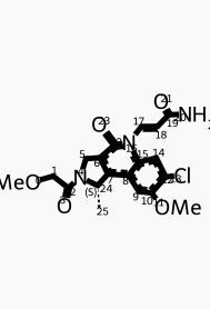 COCC(=O)N1Cc2c(c3cc(OC)c(Cl)cc3n(C=CC(N)=O)c2=O)[C@@H]1C